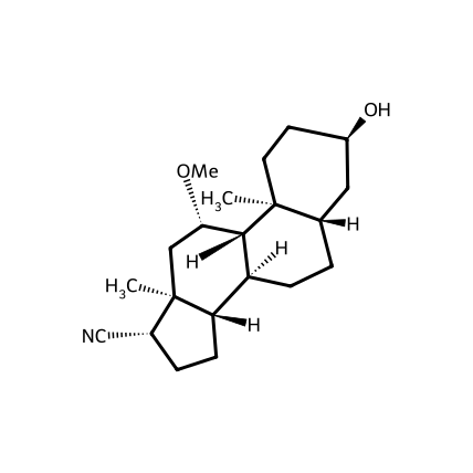 CO[C@H]1C[C@]2(C)[C@@H](C#N)CC[C@H]2[C@@H]2CC[C@H]3C[C@H](O)CC[C@]3(C)[C@H]21